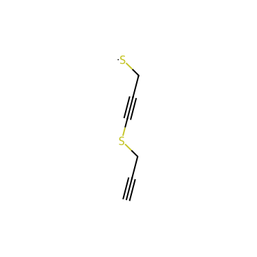 C#CCSC#CC[S]